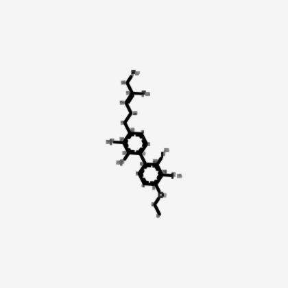 CCOc1ccc(-c2ccc(CC/C=C(\F)CF)c(F)c2F)c(F)c1F